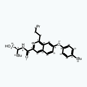 CC(C)CCc1nc(C(=O)N[C@H](C(=O)O)C(C)(C)C)cc2ccc(Oc3ccc(C(C)(C)C)cc3)cc12